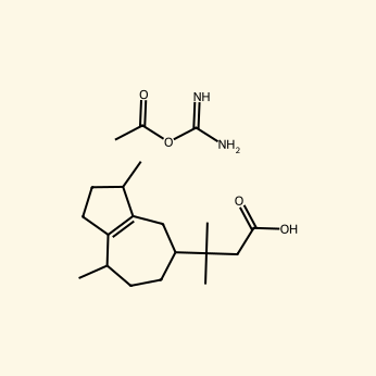 CC(=O)OC(=N)N.CC1CCC(C(C)(C)CC(=O)O)CC2=C1CCC2C